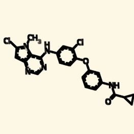 Cn1c(Cl)cc2ncnc(Nc3ccc(Oc4cccc(NC(=O)C5CC5)c4)c(Cl)c3)c21